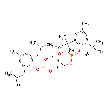 Cc1cc(CC(C)C)c(OP2OCC3(COP(Oc4c(C(C)(C)C)cc(C)cc4C(C)(C)C)CO3)CO2)c(CC(C)C)c1